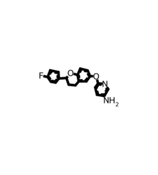 Nc1ccc(Oc2ccc3c(c2)CCC(c2ccc(F)cc2)O3)nc1